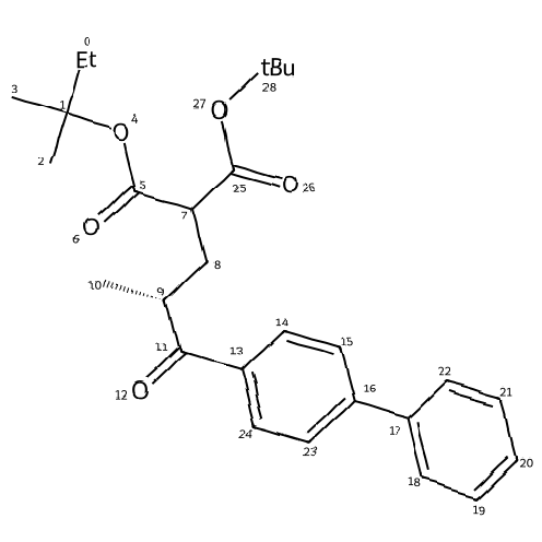 CCC(C)(C)OC(=O)C(C[C@@H](C)C(=O)c1ccc(-c2ccccc2)cc1)C(=O)OC(C)(C)C